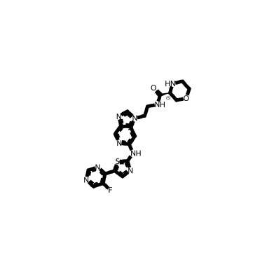 O=C(NCCn1cnc2cnc(Nc3ncc(-c4ncncc4F)s3)cc21)[C@@H]1COCCN1